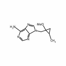 COC1(Cn2cnc3c(N)ncnc32)CC1C